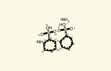 N.N.O=S(=O)(O)c1ccccc1.O=S(=O)(O)c1ccccc1